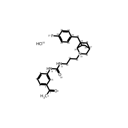 CC(=O)c1cccc(NC(=O)NCCCN2CC3CCC2C(Cc2ccc(F)cc2)C3)c1.Cl